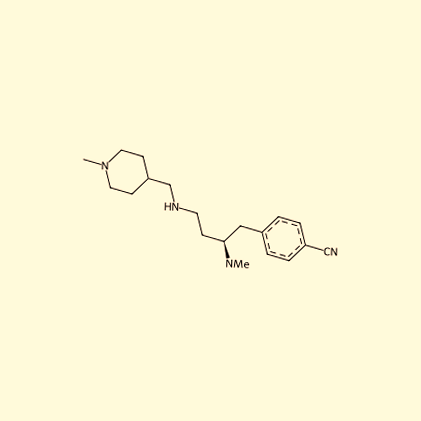 CN[C@@H](CCNCC1CCN(C)CC1)Cc1ccc(C#N)cc1